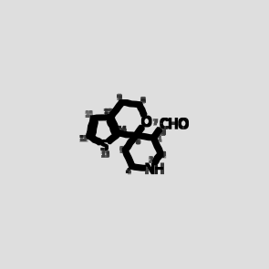 O=CC1CNCCC12OCCc1ccsc12